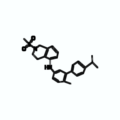 Cc1ccc(Nc2cccc3c2CCN(S(C)(=O)=O)C3)cc1-c1ccc(C(C)C)cc1